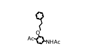 CC(=O)Nc1ccc(C(C)=O)c(OCCCc2ccccc2)c1